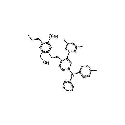 CC=Cc1cc(CO)c(C=Cc2ccc(N(c3ccccc3)c3ccc(C)cc3)cc2-c2cc(C)cc(C)c2)cc1OC